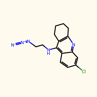 [N-]=[N+]=NCCNc1c2c(nc3cc(Cl)ccc13)CCCC2